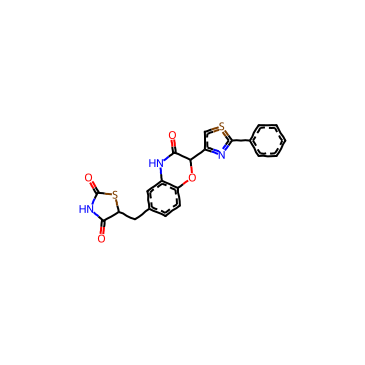 O=C1NC(=O)C(Cc2ccc3c(c2)NC(=O)C(c2csc(-c4ccccc4)n2)O3)S1